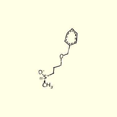 C[S@@+]([O-])CCCOCc1ccccc1